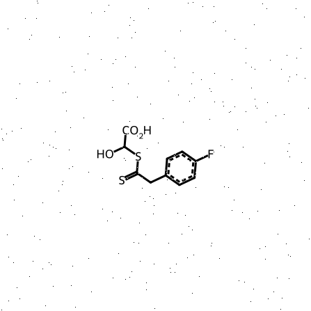 O=C(O)C(O)SC(=S)Cc1ccc(F)cc1